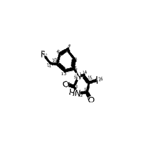 O=c1[nH]c(=O)n(-c2cccc(CF)c2)cc1I